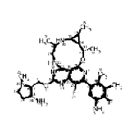 Cc1c(F)c(N)cc(-c2nc3c4c(nc(OC[C@H]5[C@H](N)CCN5C)nc4c2F)NCC(C)NC2C(C)C2[C@H](C)O3)c1C(F)(F)F